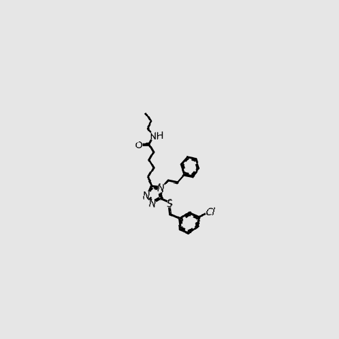 CCCNC(=O)CCCCc1nnc(SCc2cccc(Cl)c2)n1CCc1ccccc1